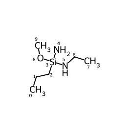 CCC[Si](N)(NCC)OC